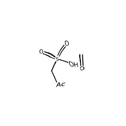 C=O.CC(=O)CS(=O)(=O)O